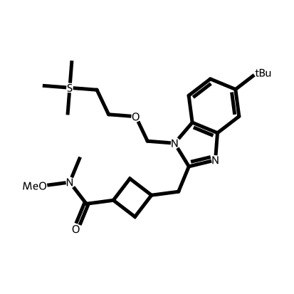 CON(C)C(=O)C1CC(Cc2nc3cc(C(C)(C)C)ccc3n2COCCS(C)(C)C)C1